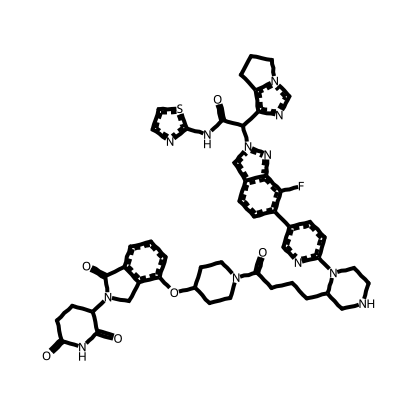 O=C1CCC(N2Cc3c(OC4CCN(C(=O)CCCC5CNCCN5c5ccc(-c6ccc7cn(C(C(=O)Nc8nccs8)c8ncn9c8CCC9)nc7c6F)cn5)CC4)cccc3C2=O)C(=O)N1